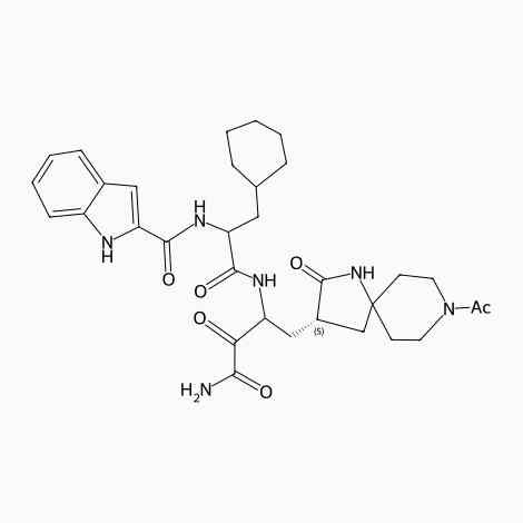 CC(=O)N1CCC2(CC1)C[C@H](CC(NC(=O)C(CC1CCCCC1)NC(=O)c1cc3ccccc3[nH]1)C(=O)C(N)=O)C(=O)N2